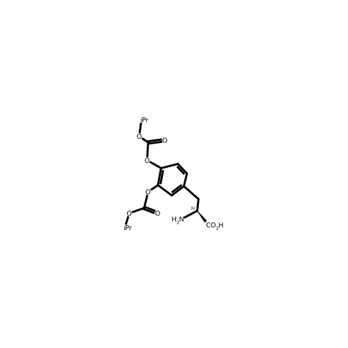 CC(C)OC(=O)Oc1ccc(C[C@H](N)C(=O)O)cc1OC(=O)OC(C)C